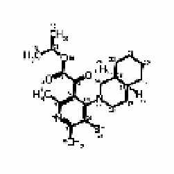 Cc1nc(C)c(C(=O)C(=O)OC(C)C)c(N2CC[C@H]3CCCC[C@@H]3C2)c1Br